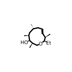 CC[C@H]1OC[C@@H](C)[C@@H](O)[C@@H](C)C[C@H](C)C/C=C/[C@H]1C